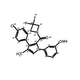 COc1cccc(-n2cc(C)c(-c3ccc(Cl)cc3)c2C(=O)N2CC(F)(F)C2)c1